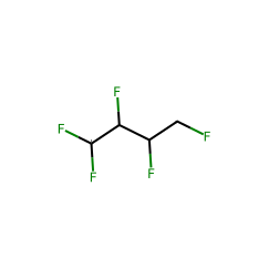 FCC(F)C(F)[C](F)F